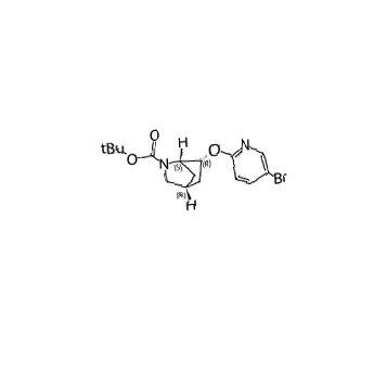 CC(C)(C)OC(=O)N1C[C@H]2C[C@@H](Oc3ccc(Br)cn3)[C@@H]1C2